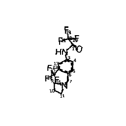 O=C(Nc1ccc(CN2CCC2)c(C(F)(F)F)c1)C(F)(F)F